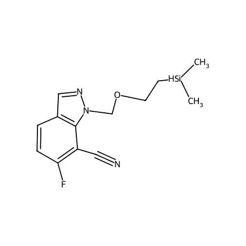 C[SiH](C)CCOCn1ncc2ccc(F)c(C#N)c21